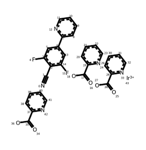 N#Cc1c(F)cc(-c2ccccn2)cc1F.O=C([O-])c1ccccn1.O=C([O-])c1ccccn1.O=C([O-])c1ccccn1.[Ir+3]